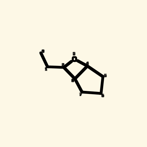 CCC1OC2CCCC12